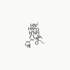 C/C=N\N(C(=O)CCC)c1cc(-c2cccnc2)cc2nc(NC(=O)NCC)[nH]c12